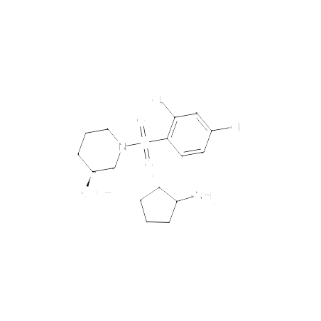 NC1CCCC1.O=C(O)[C@H]1CCCN(S(=O)(=O)c2ccc(Cl)cc2Cl)C1